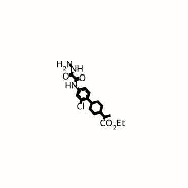 CCOC(=O)C(C)C1CCC(c2ccc(NC(=O)C(=O)NN)cc2Cl)CC1